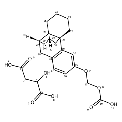 O=C(O)CC(O)C(=O)O.O=C(O)OCOc1ccc2c(c1)[C@@]13CCCC[C@H]1[C@@H](C2)NCC3